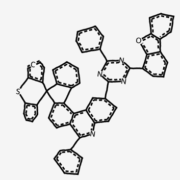 c1ccc(-c2nc(-c3ccc4nc(-c5ccccc5)c5ccc6c(c5c4c3)-c3ccccc3C63c4ccccc4Sc4ccccc43)nc(-c3cccc4c3oc3ccccc34)n2)cc1